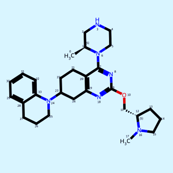 C[C@H]1CNCCN1c1nc(OC[C@@H]2CCCN2C)nc2c1CCC(N1CCCc3ccccc31)C2